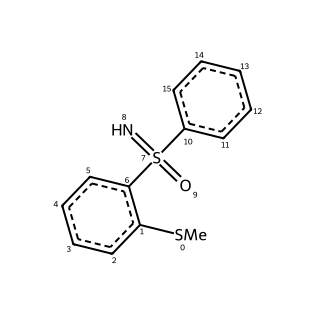 CSc1ccccc1S(=N)(=O)c1ccccc1